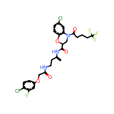 C=C(CCNC(=O)COc1ccc(Cl)c(F)c1)NC(=O)C1CN(C(=O)CCCC(F)(F)F)c2cc(Cl)ccc2O1